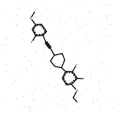 CCOc1ccc(C2CCC(C#Cc3ccc(OC)cc3F)CC2)c(F)c1F